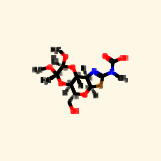 CO[C@@]1(C)O[C@@H]2[C@H]3N=C(N(C)C(=O)O)S[C@H]3O[C@H](CO)[C@H]2O[C@]1(C)OC